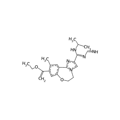 C=C(OCC)c1cc2c(cc1C)-c1nc(/C(=N/C=N)NC(C)C)cn1CCO2